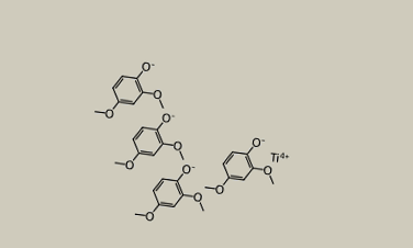 COc1ccc([O-])c(OC)c1.COc1ccc([O-])c(OC)c1.COc1ccc([O-])c(OC)c1.COc1ccc([O-])c(OC)c1.[Ti+4]